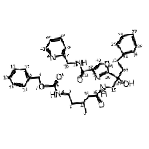 CC(CCNC(=O)OCc1ccccc1)CC(=O)NCC(O)(CCc1ccccc1)c1nc(C(=O)NCc2ccccn2)co1